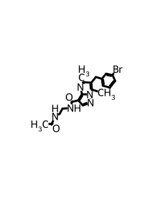 CC(=O)NCCNC(=O)c1cnn2c(C)c(Cc3cccc(Br)c3)c(C)nc12